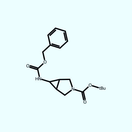 CC(C)(C)OC(=O)N1CC2C(C1)C2NC(=O)OCc1ccccc1